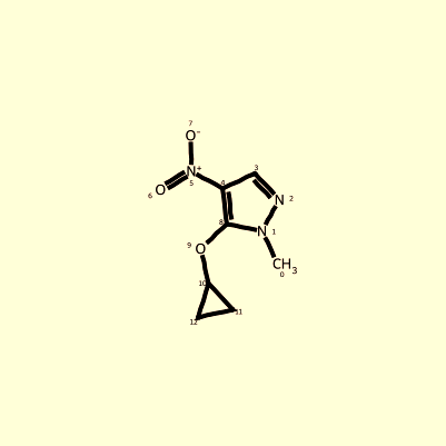 Cn1ncc([N+](=O)[O-])c1OC1CC1